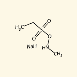 CCS(=O)(=O)ONC.[NaH]